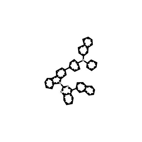 c1ccc(N(c2ccc(-c3ccc4c5ccccc5n(-c5nc(-c6ccc7ccccc7c6)c6ccccc6n5)c4c3)cc2)c2ccc3ccccc3c2)cc1